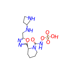 O=C(NOS(=O)(=O)O)N1CCCC[C@H]1c1nnc(CN[C@H]2CCNC2)o1